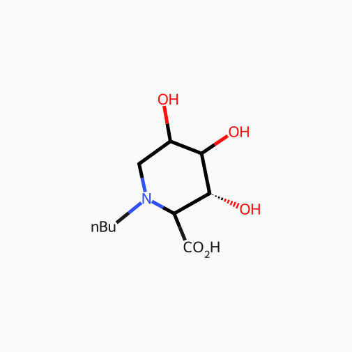 CCCCN1CC(O)C(O)[C@H](O)C1C(=O)O